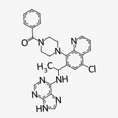 CC(Nc1ncnc2[nH]cnc12)c1cc(Cl)c2cccnc2c1N1CCN(C(=O)c2ccccc2)CC1